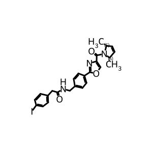 C[C@H]1C=C[C@H](C)N1C(=O)c1coc(-c2ccc(CNC(=O)Cc3ccc(I)cc3)cc2)n1